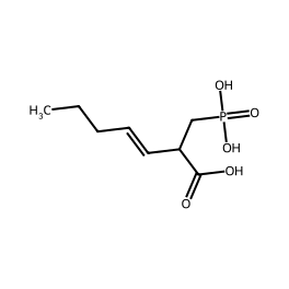 CCC/C=C/C(CP(=O)(O)O)C(=O)O